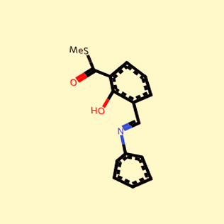 CSC(=O)c1cccc(/C=N/c2ccccc2)c1O